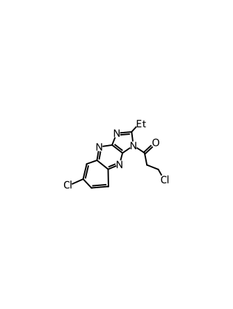 CCc1nc2nc3cc(Cl)ccc3nc2n1C(=O)CCCl